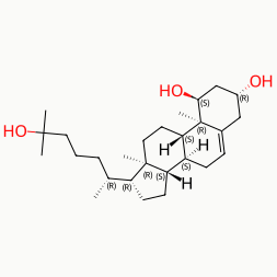 C[C@H](CCCC(C)(C)O)[C@H]1CC[C@H]2[C@@H]3CC=C4C[C@@H](O)C[C@H](O)[C@]4(C)[C@H]3CC[C@]12C